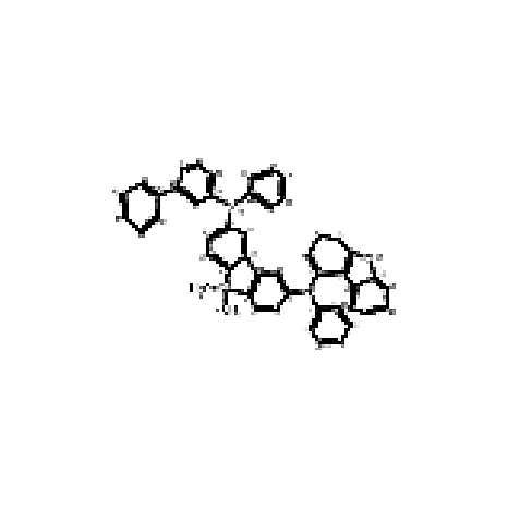 C[Si]1(C)c2ccc(N(C3=CCCc4oc5ccccc5c43)c3ccccc3)cc2-c2cc(N(c3ccccc3)c3cccc(-c4ccccc4)c3)ccc21